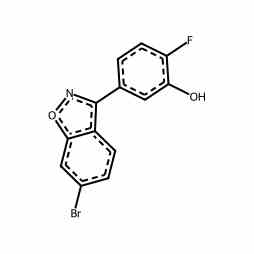 Oc1cc(-c2noc3cc(Br)ccc23)ccc1F